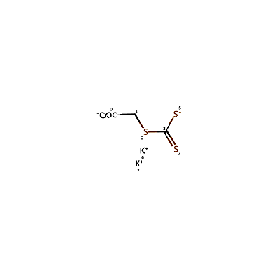 O=C([O-])CSC(=S)[S-].[K+].[K+]